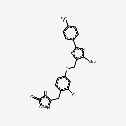 CCCCc1nc(-c2ccc(C(F)(F)F)cc2)sc1COc1ccc(Cc2noc(=O)[nH]2)c(Cl)c1